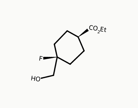 CCOC(=O)[C@H]1CC[C@](F)(CO)CC1